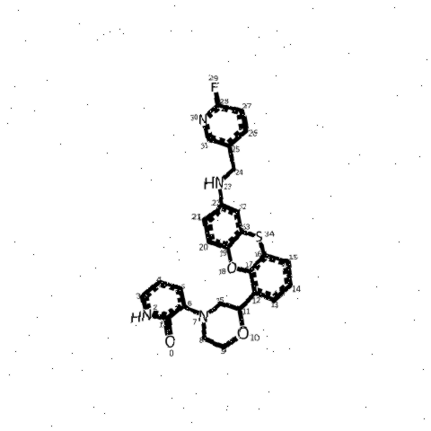 O=c1[nH]cccc1N1CCOC(c2cccc3c2Oc2ccc(NCc4ccc(F)nc4)cc2S3)C1